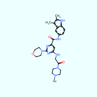 CC(=O)N1CCN(C(=O)CNc2cc(C(=O)Nc3ccc4[nH]c(C)c(C)c4c3)nc(N3CCOCC3)n2)CC1